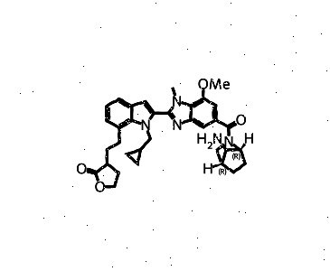 COc1cc(C(=O)N2C[C@H]3CC[C@@H]2C3N)cc2nc(-c3cc4cccc(CCC5CCOC5=O)c4n3CC3CC3)n(C)c12